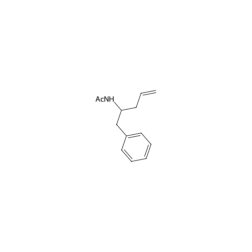 C=CCC(Cc1ccccc1)NC(C)=O